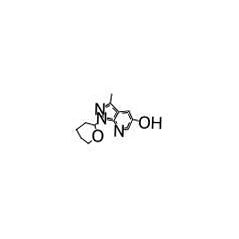 Cc1nn(C2CCCCO2)c2ncc(O)cc12